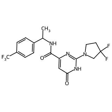 CC(NC(=O)c1cc(=O)[nH]c(N2CCC(F)(F)C2)n1)c1ccc(C(F)(F)F)cc1